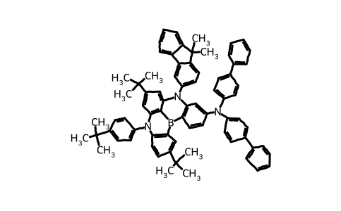 CC(C)(C)c1ccc(N2c3ccc(C(C)(C)C)cc3B3c4ccc(N(c5ccc(-c6ccccc6)cc5)c5ccc(-c6ccccc6)cc5)cc4N(c4ccc5c(c4)-c4ccccc4C5(C)C)c4cc(C(C)(C)C)cc2c43)cc1